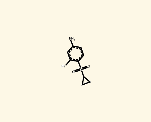 CCCc1cc(N)ccc1S(=O)(=O)C1CC1